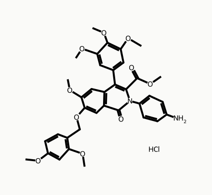 COC(=O)c1c(-c2cc(OC)c(OC)c(OC)c2)c2cc(OC)c(OCc3ccc(OC)cc3OC)cc2c(=O)n1-c1ccc(N)cc1.Cl